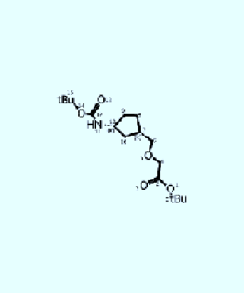 CC(C)(C)OC(=O)COC[C@@H]1CC[C@@H](NC(=O)OC(C)(C)C)C1